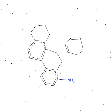 C1=CCCC=C1.Nc1cccc2c1CCc1c-2ccc2c1CCCC2